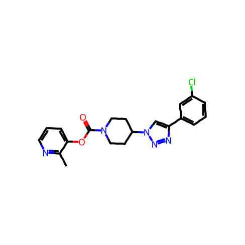 Cc1ncccc1OC(=O)N1CCC(n2cc(-c3cccc(Cl)c3)nn2)CC1